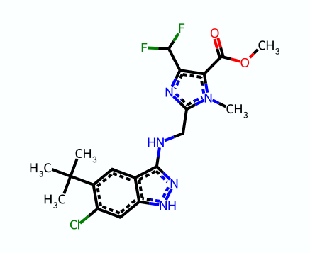 COC(=O)c1c(C(F)F)nc(CNc2n[nH]c3cc(Cl)c(C(C)(C)C)cc23)n1C